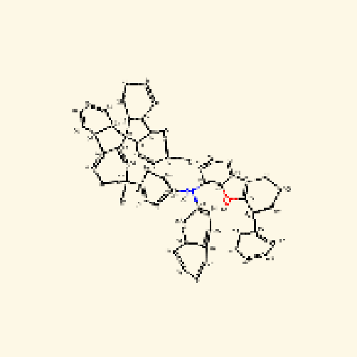 CC1C=CC2C(C1)C1C=CCCC1C21C2=CC(C)(C3=CC=C(N(C4=CC=C5C=CC=CC5C4)c4cccc5c6c(oc45)C(C4=CC=CCC4)CCC6)CC3)CC=C2C2C=CC=CC21